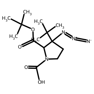 CC(C)(C)OC(=O)C1N(C(=O)O)CCC1(N=[N+]=[N-])C(C)(C)C